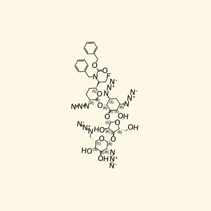 [N-]=[N+]=NC[C@@H]1O[C@H](O[C@H]2[C@@H](O)[C@H](O[C@@H]3[C@@H](O)[C@H](N=[N+]=[N-])C[C@H](N=[N+]=[N-])[C@H]3O[C@H]3O[C@H](C(CF)N(Cc4ccccc4)C(=O)OCc4ccccc4)CC[C@H]3N=[N+]=[N-])O[C@@H]2CO)[C@H](N=[N+]=[N-])[C@@H](O)[C@@H]1O